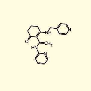 C=C(Nc1ccccn1)C1=C(NCc2ccncc2)CCCC1=O